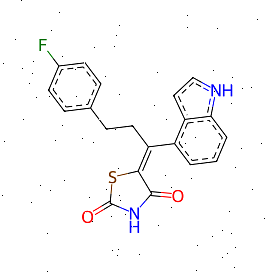 O=C1NC(=O)C(=C(CCc2ccc(F)cc2)c2cccc3[nH]ccc23)S1